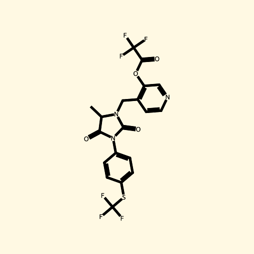 CC1C(=O)N(c2ccc(SC(F)(F)F)cc2)C(=O)N1Cc1ccncc1OC(=O)C(F)(F)F